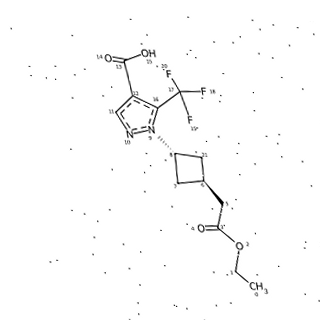 CCOC(=O)C[C@H]1C[C@H](n2ncc(C(=O)O)c2C(F)(F)F)C1